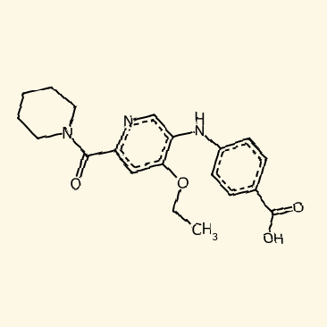 CCOc1cc(C(=O)N2CCCCC2)ncc1Nc1ccc(C(=O)O)cc1